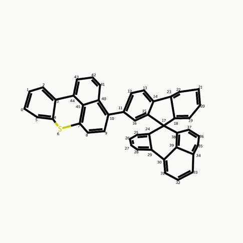 c1ccc2c(c1)Sc1ccc(-c3ccc4c(c3)C3(c5ccccc5-4)c4ccccc4-c4cccc5cccc3c45)c3cccc-2c13